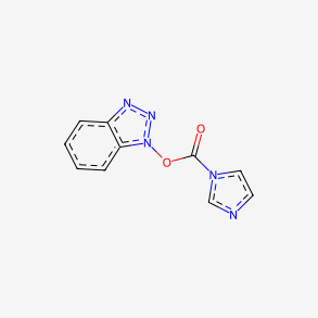 O=C(On1nnc2ccccc21)n1ccnc1